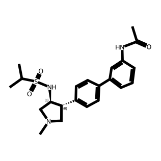 CC(=O)Nc1cccc(-c2ccc([C@@H]3CN(C)C[C@H]3NS(=O)(=O)C(C)C)cc2)c1